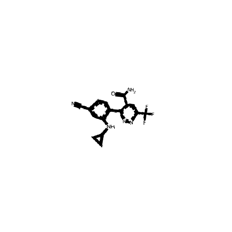 N#Cc1ccc(-c2nnc(C(F)(F)F)cc2C(N)=O)c(NC2CC2)c1